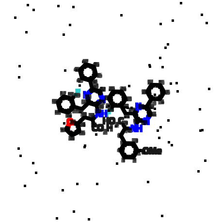 COc1cccc(CC(Nc2ncc(-c3ccccc3)nc2Cc2ccccc2F)C(=O)O)c1.O=C(O)C(Cc1ccco1)Nc1ncc(-c2ccccc2)nc1Cc1ccccc1F